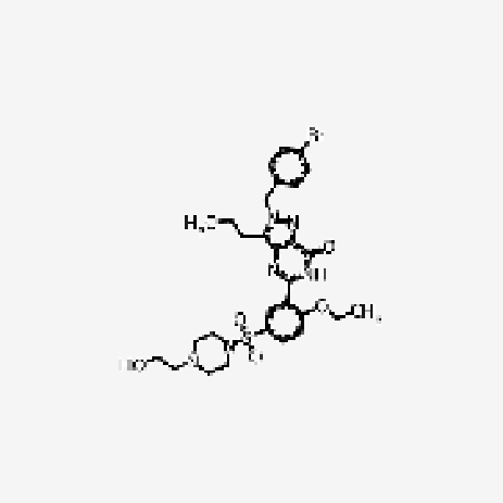 CCCc1c2nc(-c3cc(S(=O)(=O)N4CCN(CCO)CC4)ccc3OCC)[nH]c(=O)c2nn1Cc1ccc(Br)cc1